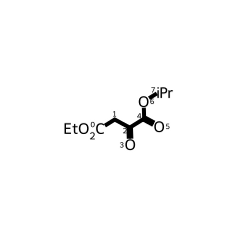 CCOC(=O)CC(=O)C(=O)OC(C)C